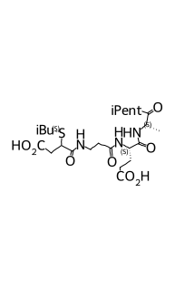 CCCC(C)C(=O)[C@H](C)NC(=O)[C@H](CCC(=O)O)NC(=O)CCNC(=O)C(CC(=O)O)S[C@@H](C)CC